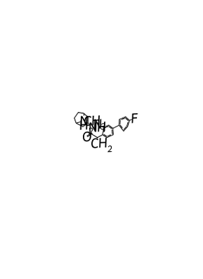 C=C(C(=O)NC1CC2CCC(C1)N2C)c1ccc(-c2ccc(F)cc2)cc1N